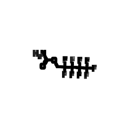 NC(=O)OCC(F)(F)C(F)(F)C(F)(F)C(F)(F)F